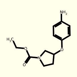 CCOC(=O)N1CCC(Oc2ccc(N)cc2)C1